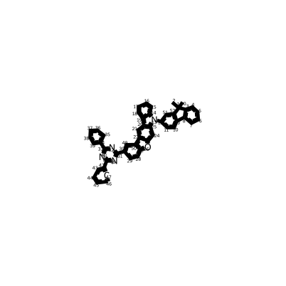 CC1(C)c2ccccc2-c2ccc(-n3c4ccccc4c4cc5c(cc43)oc3ccc(-c4nc(-c6ccccc6)nc(-c6ccccc6)n4)cc35)cc21